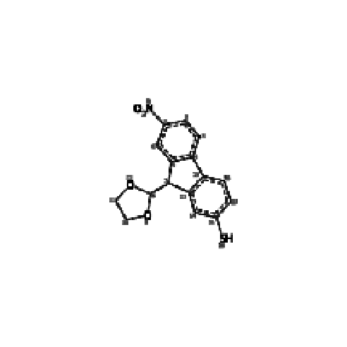 O=[N+]([O-])c1ccc2c(c1)C(C1OCCO1)c1cc(S)ccc1-2